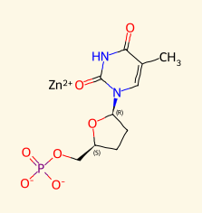 Cc1cn([C@H]2CC[C@@H](COP(=O)([O-])[O-])O2)c(=O)[nH]c1=O.[Zn+2]